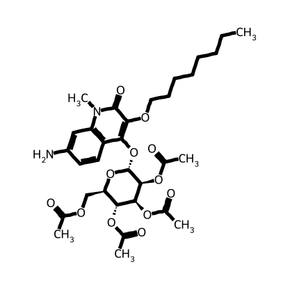 CCCCCCCCOc1c(O[C@H]2O[C@H](COC(C)=O)[C@@H](OC(C)=O)[C@H](OC(C)=O)[C@@H]2OC(C)=O)c2ccc(N)cc2n(C)c1=O